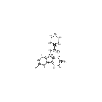 Cc1ccc2c(c1)c1c(n2CC(=O)N2CCCCC2)CN(C)CC1